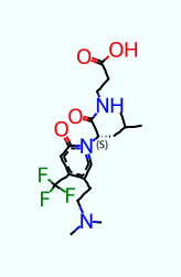 CC(C)C[C@@H](C(=O)NCCC(=O)O)n1cc(CCN(C)C)c(C(F)(F)F)cc1=O